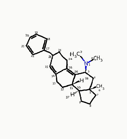 CN(C)[C@H]1C[C@]2(C)CCC[C@H]2[C@@H]2CCC3=CC(c4ccccc4)CCC3=C21